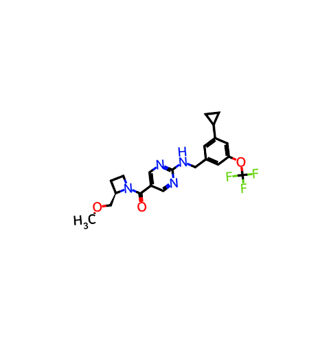 COC[C@H]1CCN1C(=O)c1cnc(NCc2cc(OC(F)(F)F)cc(C3CC3)c2)nc1